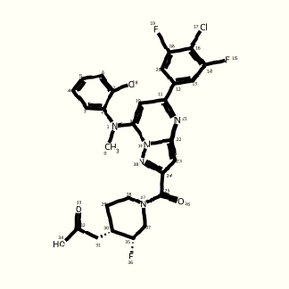 CN(c1ccccc1Cl)c1cc(-c2cc(F)c(Cl)c(F)c2)nc2cc(C(=O)N3CC[C@@H](CC(=O)O)[C@@H](F)C3)nn12